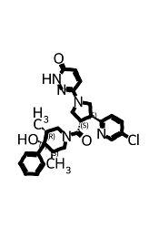 C[C@@H]1CN(C(=O)[C@@H]2CN(c3ccc(=O)[nH]n3)C[C@H]2c2ccc(Cl)cn2)C[C@H](C)[C@@]1(O)c1ccccc1